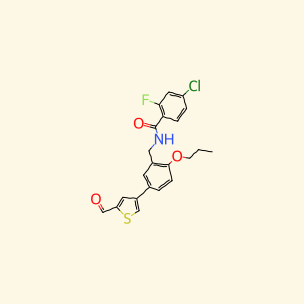 CCCOc1ccc(-c2csc(C=O)c2)cc1CNC(=O)c1ccc(Cl)cc1F